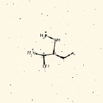 CC[C@H](NP)C(N)O